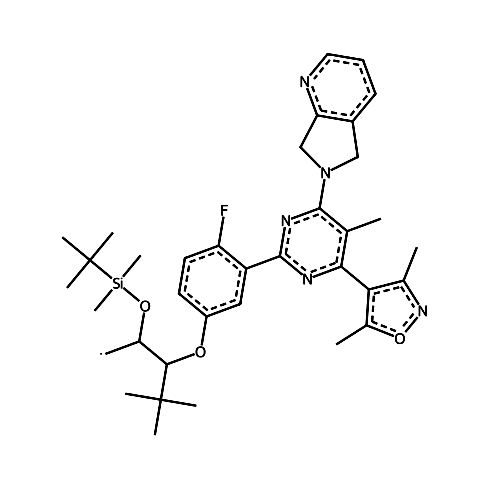 [CH2]C(O[Si](C)(C)C(C)(C)C)C(Oc1ccc(F)c(-c2nc(-c3c(C)noc3C)c(C)c(N3Cc4cccnc4C3)n2)c1)C(C)(C)C